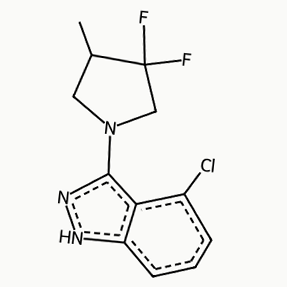 CC1CN(c2n[nH]c3cccc(Cl)c23)CC1(F)F